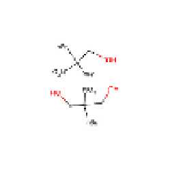 CCCC(CO)(CCC)[N+](=O)[O-].CCCCC(CO)(CO)[N+](=O)[O-]